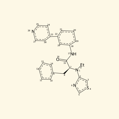 CCN(c1cscn1)[C@@H](Cc1ccccc1)C(=O)Nc1cccc(-c2ccncc2)c1